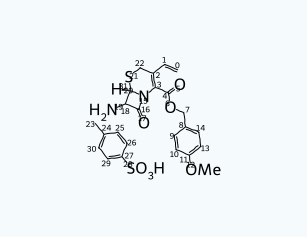 C=CC1=C(C(=O)OCc2ccc(OC)cc2)N2C(=O)C(N)[C@@H]2SC1.Cc1ccc(S(=O)(=O)O)cc1